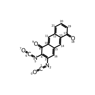 O=C=NC1=C(N=C=O)C(=O)c2cc3c(cc2=C1)C(=O)C=CC=3